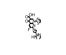 C/C=N\N(NC)C1CN(c2nc3c(cc2F)c(=O)c(C(=O)O)cn3-c2nccs2)C1